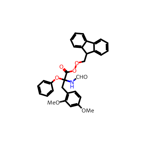 COc1ccc(CC(NC=O)(Oc2ccccc2)C(=O)OOCC2c3ccccc3-c3ccccc32)c(OC)c1